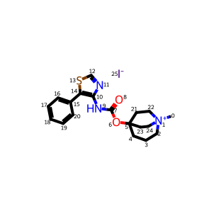 C[N+]12CCCC(OC(=O)Nc3ncsc3-c3ccccc3)(CC1)CC2.[I-]